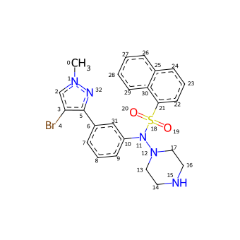 Cn1cc(Br)c(-c2cccc(N(N3CCNCC3)S(=O)(=O)c3cccc4ccccc34)c2)n1